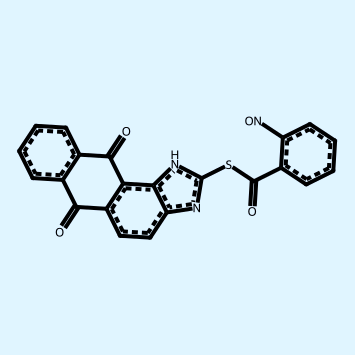 O=Nc1ccccc1C(=O)Sc1nc2ccc3c(c2[nH]1)C(=O)c1ccccc1C3=O